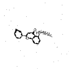 CC(=O)NNc1cccc2oc(-c3ccccc3)cc(=O)c12